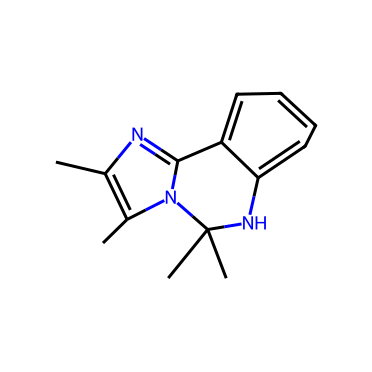 Cc1nc2n(c1C)C(C)(C)Nc1ccccc1-2